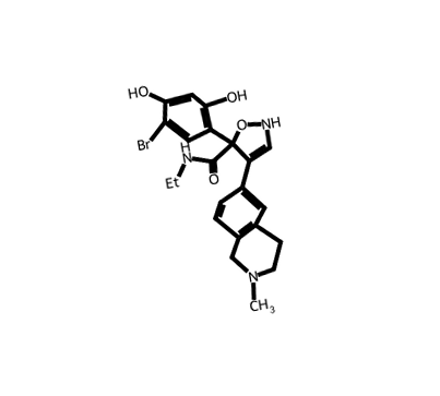 CCNC(=O)C1(c2cc(Br)c(O)cc2O)ONC=C1c1ccc2c(c1)CCN(C)C2